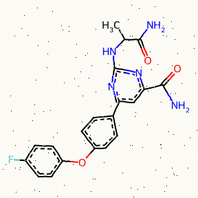 CC(Nc1nc(C(N)=O)cc(-c2ccc(Oc3ccc(F)cc3)cc2)n1)C(N)=O